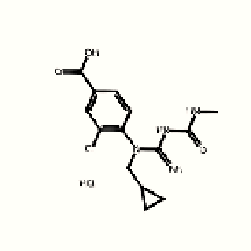 CNC(=O)NC(=N)N(CC1CC1)c1ccc(C(=O)O)cc1Cl.Cl